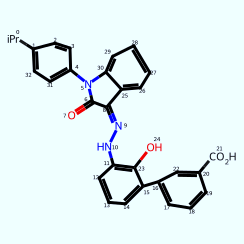 CC(C)c1ccc(N2C(=O)/C(=N\Nc3cccc(-c4cccc(C(=O)O)c4)c3O)c3ccccc32)cc1